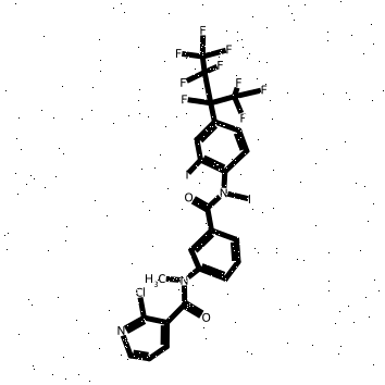 CN(C(=O)c1cccnc1Cl)c1cccc(C(=O)N(I)c2ccc(C(F)(C(F)(F)F)C(F)(F)C(F)(F)F)cc2I)c1